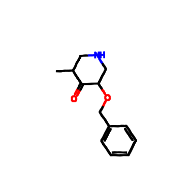 CC1CNCC(OCc2ccccc2)C1=O